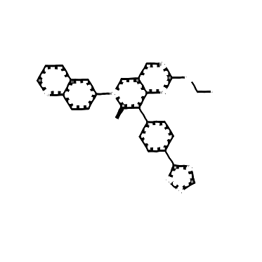 O=c1c(-c2ccc(-c3nc[nH]n3)cc2)c2nc(OCC(F)(F)F)ncc2cn1-c1ccc2ncccc2c1